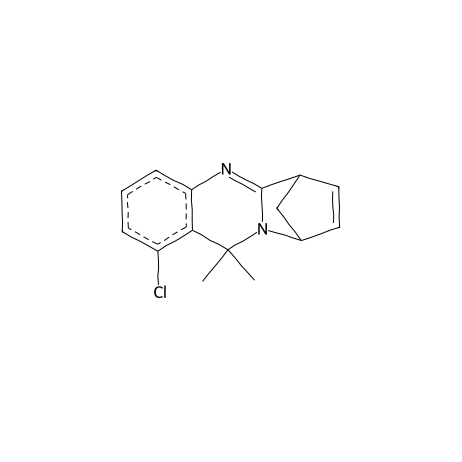 CC1(C)c2c(Cl)cccc2N=C2C3C=CC(C3)N21